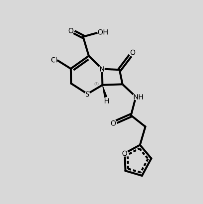 O=C(Cc1ccco1)NC1C(=O)N2C(C(=O)O)=C(Cl)CS[C@@H]12